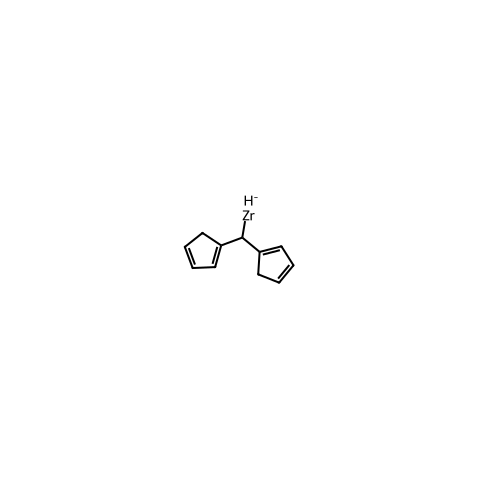 [H-].[Zr][CH](C1=CC=CC1)C1=CC=CC1